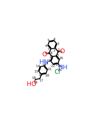 O=C1c2ccccc2C(=O)c2c(Nc3ccc(CCO)cc3)cc(NCl)cc21